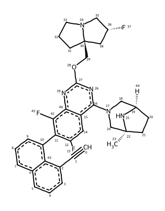 C#Cc1cccc2cccc(-c3c(F)cc4c(N5C[C@H]6CC[C@@](C)(C5)N6)nc(OC[C@@]56CCCN5C[C@H](F)C6)nc4c3F)c12